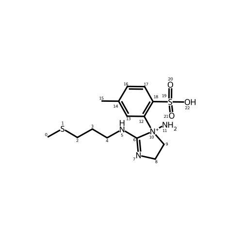 CSCCCNC1=NCC[N+]1(N)c1cc(C)ccc1S(=O)(=O)O